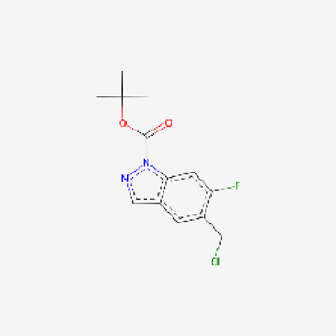 CC(C)(C)OC(=O)n1ncc2cc(CCl)c(F)cc21